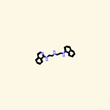 c1ccc2c(NCCNCCNc3nccc4ccccc34)cccc2c1